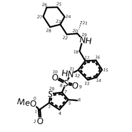 COC(=O)c1cc(C)c(S(=O)(=O)Nc2ccccc2CN[C@@H](C)CC2CCCCC2)s1